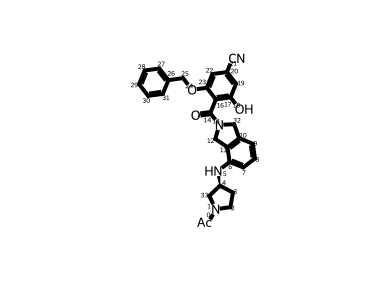 CC(=O)N1CC[C@H](Nc2cccc3c2CN(C(=O)c2c(O)cc(C#N)cc2OCc2ccccc2)C3)C1